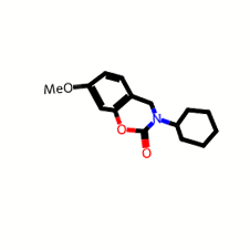 COc1ccc2c(c1)OC(=O)N(C1CCCCC1)C2